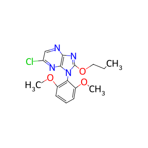 CCCOc1nc2ncc(Cl)nc2n1-c1c(OC)cccc1OC